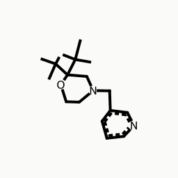 CC(C)(C)C1(C(C)(C)C)CN(Cc2cccnc2)CCO1